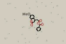 COc1ccc2c(CC(=O)OC(=O)c3ccccc3)cc(=O)oc2c1